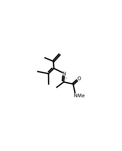 C=C(C)C(/N=C(\C)C(=O)NC)=C(C)C